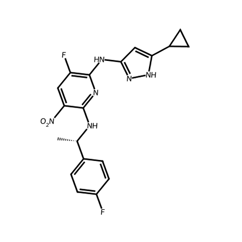 C[C@H](Nc1nc(Nc2cc(C3CC3)[nH]n2)c(F)cc1[N+](=O)[O-])c1ccc(F)cc1